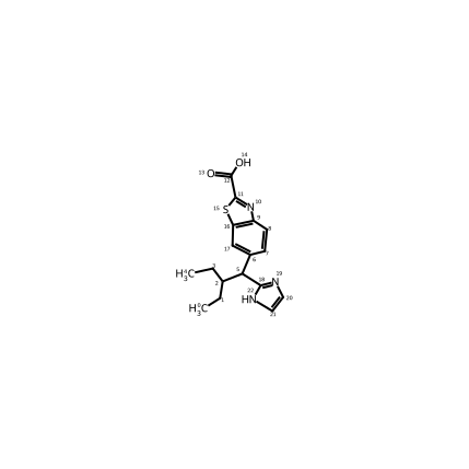 CCC(CC)C(c1ccc2nc(C(=O)O)sc2c1)c1ncc[nH]1